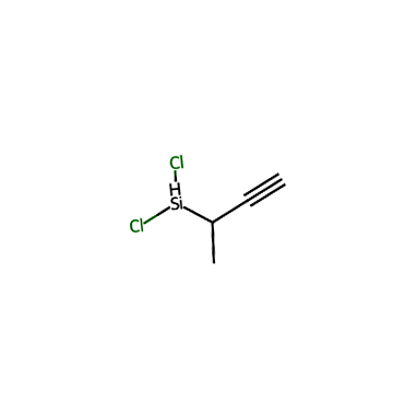 C#CC(C)[SiH](Cl)Cl